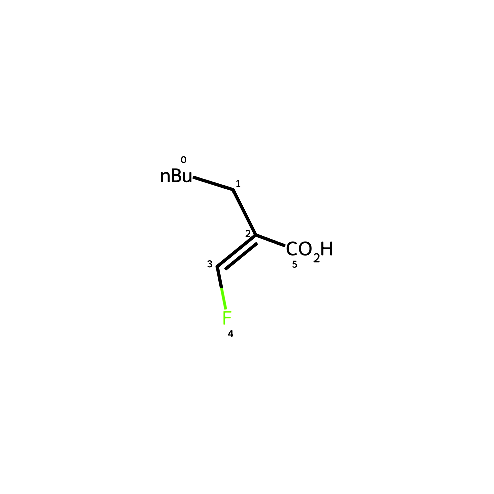 CCCCCC(=CF)C(=O)O